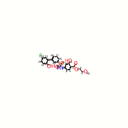 COCCOC(=O)c1ccc(NS(=O)(=O)c2cccc(-c3cc(F)ccc3O)c2)cc1O